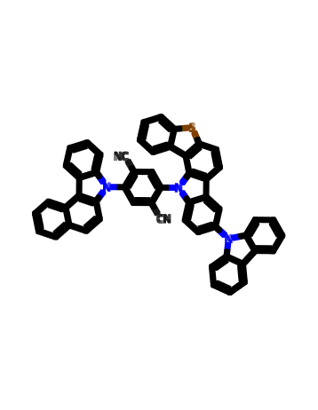 N#Cc1cc(-n2c3ccc(-n4c5ccccc5c5ccccc54)cc3c3ccc4sc5ccccc5c4c32)c(C#N)cc1-n1c2ccccc2c2c3ccccc3ccc21